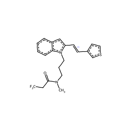 CN(CCCn1c(/C=C/c2ccsc2)cc2ccccc21)C(=O)CC(F)(F)F